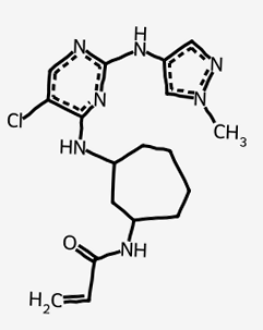 C=CC(=O)NC1CCCCC(Nc2nc(Nc3cnn(C)c3)ncc2Cl)C1